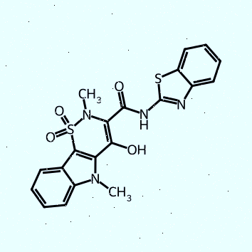 CN1C(C(=O)Nc2nc3ccccc3s2)=C(O)c2c(c3ccccc3n2C)S1(=O)=O